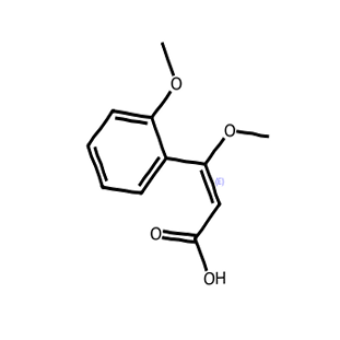 CO/C(=C/C(=O)O)c1ccccc1OC